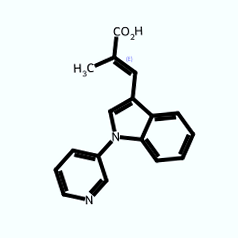 C/C(=C\c1cn(-c2cccnc2)c2ccccc12)C(=O)O